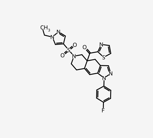 CCn1cc(S(=O)(=O)N2CCC3=Cc4c(cnn4-c4ccc(F)cc4)CC3(C(=O)c3nccs3)C2)cn1